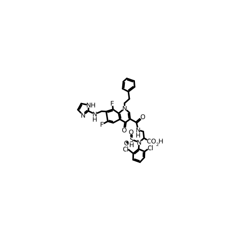 O=C(NCC(C(=O)O)N(c1c(Cl)cccc1Cl)[SH](=O)=O)c1cn(CCc2ccccc2)c2c(F)c(CNc3ncc[nH]3)c(F)cc2c1=O